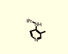 Cc1cnccc1NC(C)C